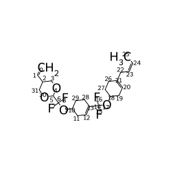 C=CC1COC(C(F)(F)OC2CC=C(C(F)(F)OC3CC=C(C/C=C\C)CC3)CC2)OC1